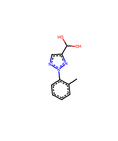 Cc1ccccc1-n1ncc(C(O)O)n1